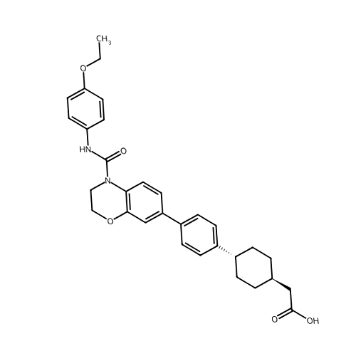 CCOc1ccc(NC(=O)N2CCOc3cc(-c4ccc([C@H]5CC[C@H](CC(=O)O)CC5)cc4)ccc32)cc1